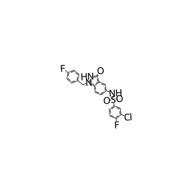 O=c1[nH]n(Cc2ccc(F)cc2)c2ccc(NS(=O)(=O)c3ccc(F)c(Cl)c3)cc12